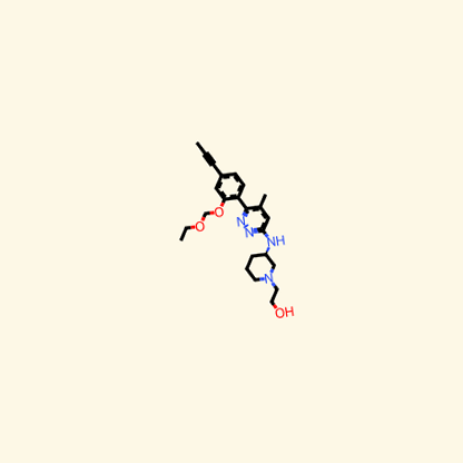 CC#Cc1ccc(-c2nnc(N[C@@H]3CCCN(CCO)C3)cc2C)c(OCOCC)c1